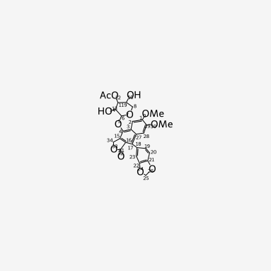 COc1cc2c(OC3OCC(O)C(OC(C)=O)C3O)c3c(c(-c4ccc5c(c4)OCO5)c2cc1OC)C(=O)OC3